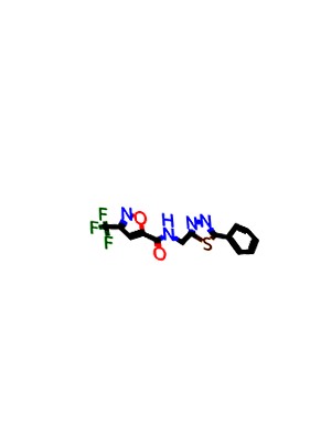 O=C(NCc1nnc(-c2ccccc2)s1)c1cc(C(F)(F)F)no1